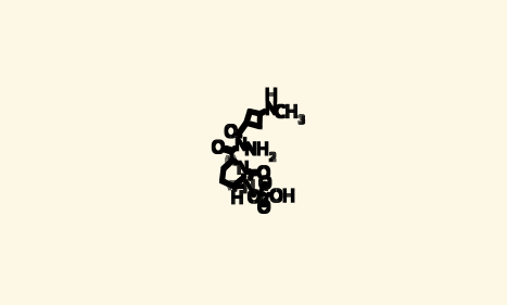 CNC1CC(C(=O)N(N)C(=O)[C@@H]2CC[C@@H]3CN2C(=O)N3OS(=O)(=O)O)C1